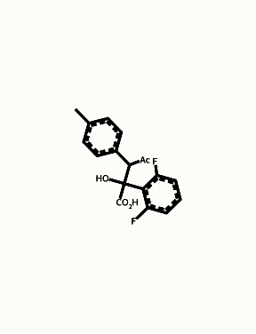 CC(=O)C(c1ccc(C)cc1)C(O)(C(=O)O)c1c(F)cccc1F